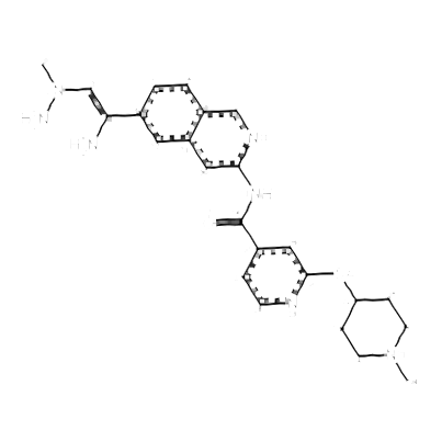 CN(N)/C=C(\N)c1ccc2cnc(NC(=O)c3ccnc(SC4CCN(C)CC4)c3)cc2c1